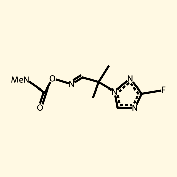 CNC(=O)ON=CC(C)(C)n1cnc(F)n1